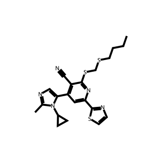 CCCCSCSc1nc(-c2nccs2)cc(-c2cnc(C)n2C2CC2)c1C#N